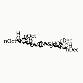 CCCCCCCCCCC(O)CN(CCCCSSCCN1CCN(CCOC(=O)CCCN(CC(O)CCCCCCCC)CC(O)CCCCCCCC)CC1)CC(O)CCCCCCCCCC